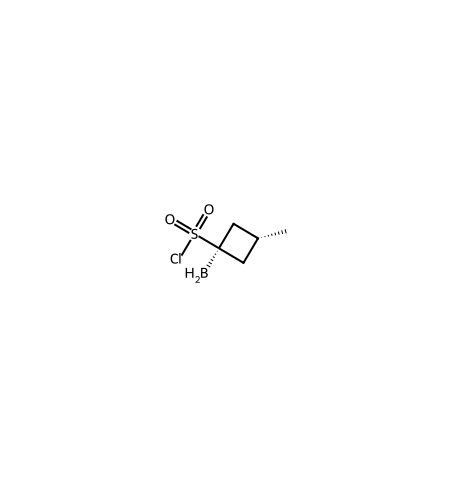 B[C@]1(S(=O)(=O)Cl)C[C@H](C)C1